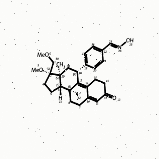 COC[C@]1(OC)CC[C@H]2[C@@H]3CCC4=CC(=O)CCC4=C3[C@@H](c3ccc(C=NO)cc3)C[C@@]21C